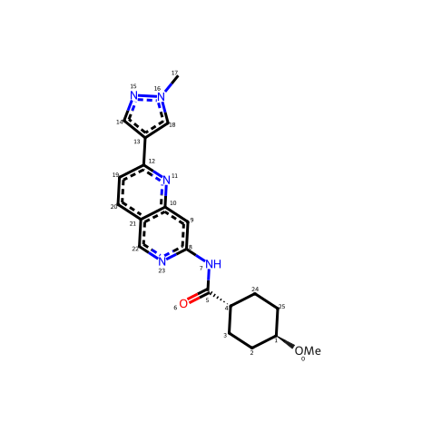 CO[C@H]1CC[C@H](C(=O)Nc2cc3nc(-c4cnn(C)c4)ccc3cn2)CC1